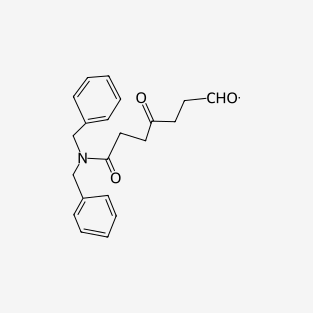 O=[C]CCC(=O)CCC(=O)N(Cc1ccccc1)Cc1ccccc1